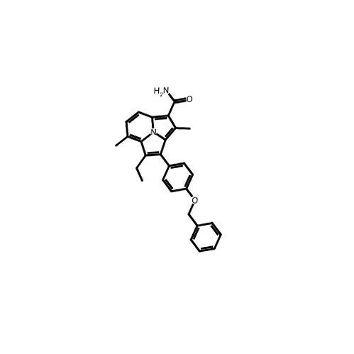 CCc1c(-c2ccc(OCc3ccccc3)cc2)c2c(C)c(C(N)=O)c3ccc(C)c1n32